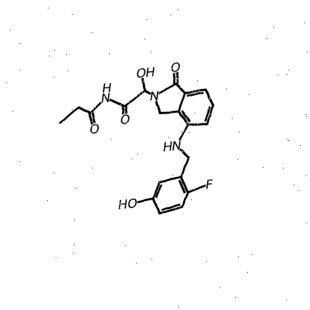 CCC(=O)NC(=O)C(O)N1Cc2c(NCc3cc(O)ccc3F)cccc2C1=O